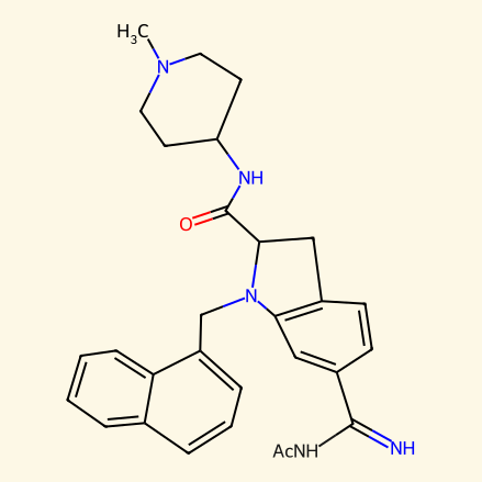 CC(=O)NC(=N)c1ccc2c(c1)N(Cc1cccc3ccccc13)C(C(=O)NC1CCN(C)CC1)C2